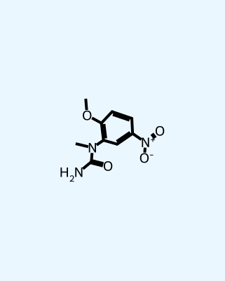 COc1ccc([N+](=O)[O-])cc1N(C)C(N)=O